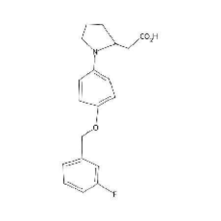 O=C(O)CC1CCCN1c1ccc(OCc2cccc(F)c2)cc1